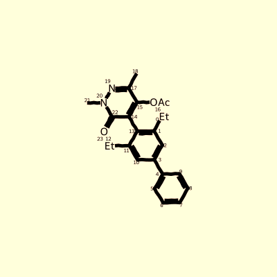 CCc1cc(-c2ccccc2)cc(CC)c1-c1c(OC(C)=O)c(C)nn(C)c1=O